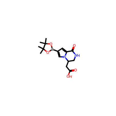 CC1(C)OB(c2cc3n(c2)C(CC(=O)O)CNC3=O)OC1(C)C